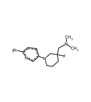 CC(C)c1ccc(N2CCCC(F)(CN(C)C)C2)cn1